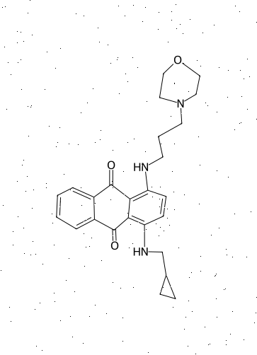 O=C1c2ccccc2C(=O)c2c(NCC3CC3)ccc(NCCCN3CCOCC3)c21